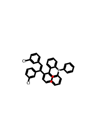 Clc1cccc(/C=C(\c2cccc(Cl)c2)c2ccccc2-c2ccccc2P(c2ccccc2)c2ccccc2)c1